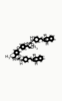 CCC(NC(=O)NC1CCC(CCN2[C@@H]3CC[C@H]2c2ccccc23)CC1)c1ccc(Oc2ccc(C(CC)NC(=O)NC3CCC(CCN4[C@@H]5CC[C@H]4c4ccccc45)CC3)cc2)cc1